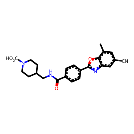 Cc1cc(C#N)cc2nc(-c3ccc(C(=O)NCC4CCN(C(=O)O)CC4)cc3)oc12